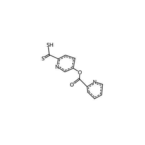 O=C(Oc1ccc(C(=S)S)nc1)c1ccccn1